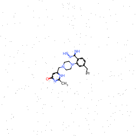 Cc1nc(=O)cc(CN2CCN(c3cc(CC(C)C)ccc3C(=N)N=N)CC2)[nH]1